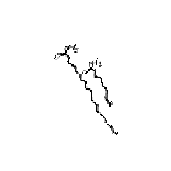 CCCCCCCC(N)=O.CCCCCCCCCCCCCCCCCC(N)=O